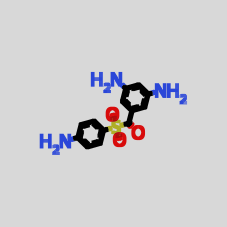 Nc1ccc(S(=O)(=O)C(=O)c2cc(N)cc(N)c2)cc1